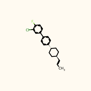 CC=C[C@H]1CC[C@H](c2ccc(-c3ccc(F)c(Cl)c3)cc2)CC1